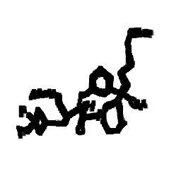 CNCC(CC1CC(F)(F)C1)NC(=O)N1CCCC(C(O)(CCCCOC)c2cccc(F)c2)C1